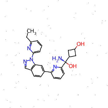 CCc1cccc(-n2ncc3ccc(-c4cccc([C@@](N)(O)C5CC(O)C5)n4)cc32)n1